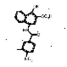 Cc1cc(C(=O)Nc2cc(S(=O)(=O)O)c(O)c3ccccc23)ccc1[N+](=O)[O-]